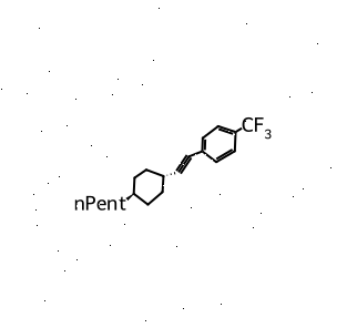 CCCCC[C@H]1CC[C@H](C#Cc2ccc(C(F)(F)F)cc2)CC1